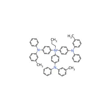 CCC[N+](c1ccc(N(c2ccccc2)c2cccc(C)c2)cc1)(c1ccc(N(c2ccccc2)c2cccc(C)c2)cc1)c1ccc(N(c2ccccc2)c2cccc(C)c2)cc1